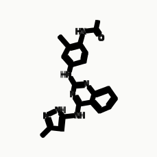 CC(=O)Nc1ccc(Nc2nc(Nc3cc(C)n[nH]3)c3ccccc3n2)cc1C